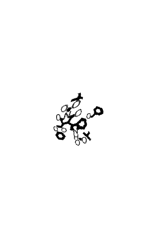 CC(C)(C)OC(=O)N1C(=O)C(C2=COc3ccccc3O2)=C(c2c[nH]c3ccc(OCc4ccccc4)cc23)C1=O.CC(C)(C)OC=O